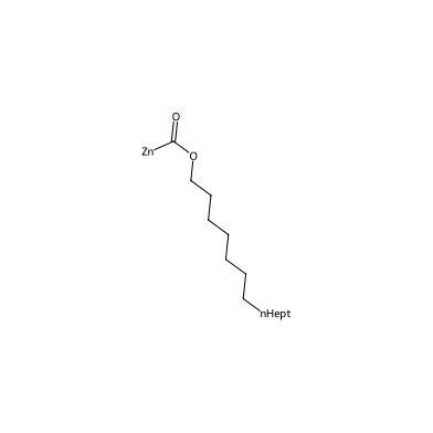 CCCCCCCCCCCCCCO[C](=O)[Zn]